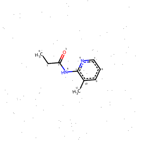 CCC(=O)Nc1ncccc1C